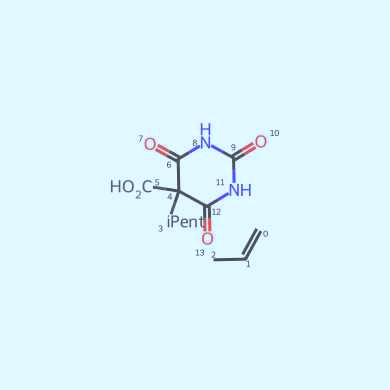 C=CC.CCCC(C)C1(C(=O)O)C(=O)NC(=O)NC1=O